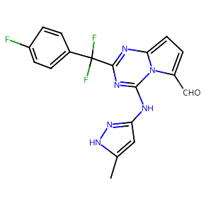 Cc1cc(Nc2nc(C(F)(F)c3ccc(F)cc3)nc3ccc(C=O)n23)n[nH]1